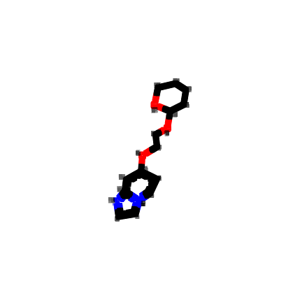 c1cn2ccc(OCCOC3CCCCO3)cc2n1